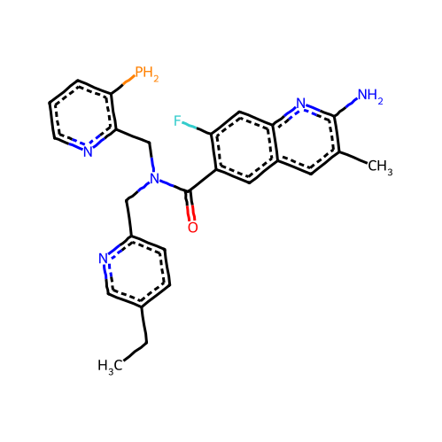 CCc1ccc(CN(Cc2ncccc2P)C(=O)c2cc3cc(C)c(N)nc3cc2F)nc1